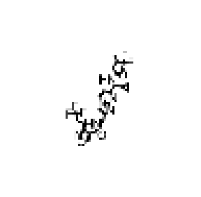 CC(CC(=O)NC(c1ccn2cc(CNC(=O)c3conc3CCC(F)(F)F)nc2n1)C1CC1)C(F)(F)F